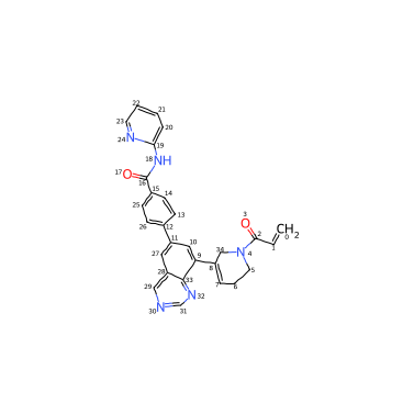 C=CC(=O)N1CCC=C(c2cc(-c3ccc(C(=O)Nc4ccccn4)cc3)cc3cncnc23)C1